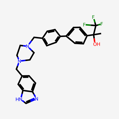 CC(O)(c1ccc(-c2ccc(CN3CCN(Cc4ccc5nc[nH]c5c4)CC3)cc2)cc1)C(F)(F)F